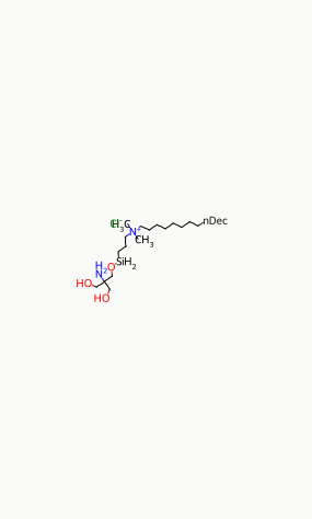 CCCCCCCCCCCCCCCCCC[N+](C)(C)CCC[SiH2]OCC(N)(CO)CO.[Cl-]